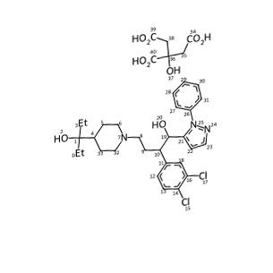 CCC(O)(CC)C1CCN(CCC(c2ccc(Cl)c(Cl)c2)C(O)c2ccnn2-c2ccccc2)CC1.O=C(O)CC(O)(CC(=O)O)C(=O)O